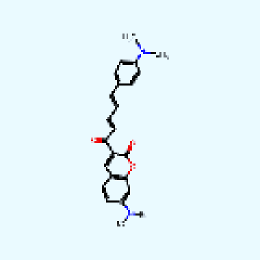 CCN(CC)c1ccc2cc(C(=O)C=CC=Cc3ccc(N(C)C)cc3)c(=O)oc2c1